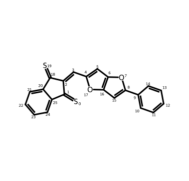 S=C1C(=Cc2cc3oc(-c4ccccc4)cc3o2)C(=S)c2ccccc21